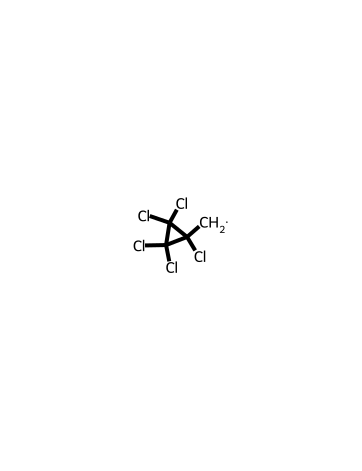 [CH2]C1(Cl)C(Cl)(Cl)C1(Cl)Cl